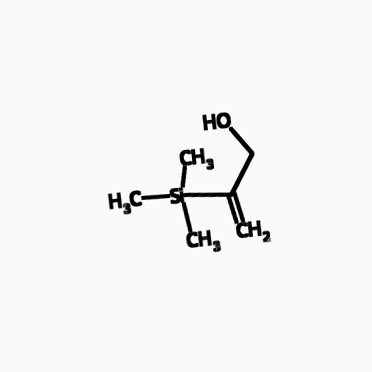 C=C(CO)[Si](C)(C)C